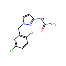 CC(=O)Nc1ccn(Cc2cc(F)ccc2Cl)n1